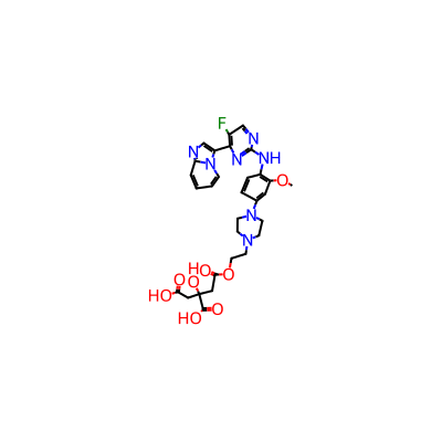 COc1cc(N2CCN(CCOC(=O)CC(O)(CC(=O)O)C(=O)O)CC2)ccc1Nc1ncc(F)c(-c2cnc3ccccn23)n1